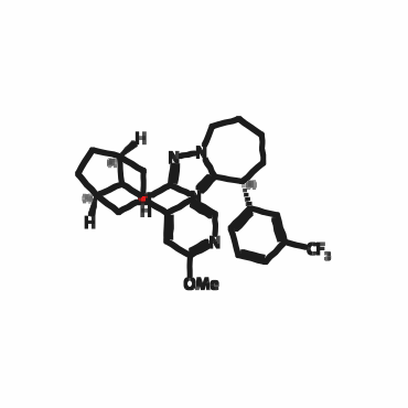 COc1cc(N2C[C@H]3CC[C@@H](C2)C3Nc2nc3n(n2)CCCC[C@@H]3c2cccc(C(F)(F)F)c2)ccn1